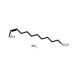 CCCCCCCC/C=C\CCCCCCCCS(=O)(=O)O.N